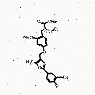 CCO[C@@H](Cc1ccc(OCc2nc(-c3ccc(F)c(C)c3)oc2C)cc1OC)C(=O)OC